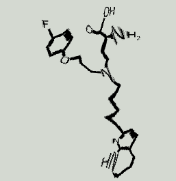 N[C@@H](CCN(CCCCc1ccc2c(n1)NCCC2)CCOc1ccc(F)cc1)C(=O)O